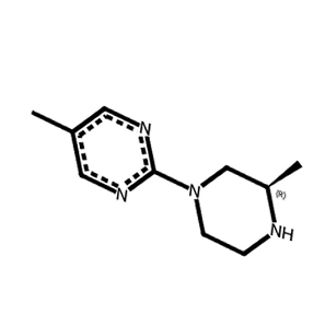 Cc1cnc(N2CCN[C@H](C)C2)nc1